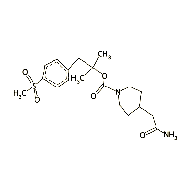 CC(C)(Cc1ccc(S(C)(=O)=O)cc1)OC(=O)N1CCC(CC(N)=O)CC1